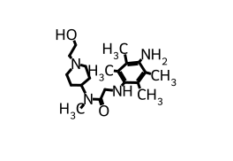 Cc1c(C)c(NCC(=O)N(C)C2CCN(CCO)CC2)c(C)c(C)c1N